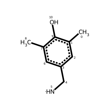 Cc1cc(C[NH])cc(C)c1O